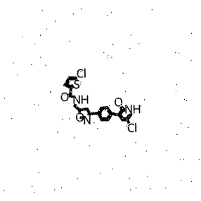 O=C(NCC1CC(c2ccc(-c3cc(Cl)c[nH]c3=O)cc2)=NO1)c1ccc(Cl)s1